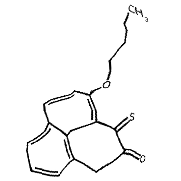 CCCCOc1ccc2cccc3c2c1C(=S)C(=O)C3